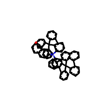 c1ccc(-c2ccc3cccc4c3c2C2(c3ccccc3-c3ccc(N(c5ccc6ccccc6c5)c5cccc6c5C(c5ccccc5)(c5ccccc5)c5ccccc5-6)cc32)c2ccccc2-4)cc1